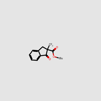 CC(C)(C)OC(=O)C1(C(F)(F)F)Cc2ccccc2C1=O